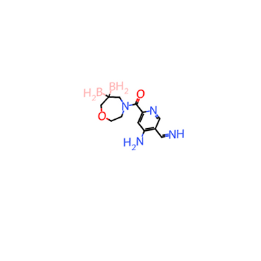 BC1(B)COCCN(C(=O)c2cc(N)c(C=N)cn2)C1